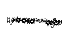 CN(C)c1ccc(-c2ccc(-c3nc4ccc(OCCOCCOc5ccc6c(c5)CN(C5CCC(=O)NC5=O)C6=O)cc4o3)cc2)cn1